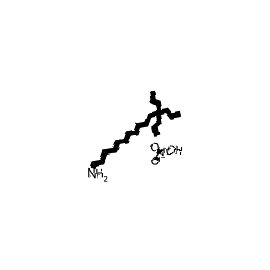 C=CCC(CC=C)(CC=C)CCCCCCCCCCCN.O=[N+]([O-])O